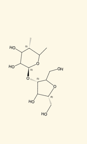 CC1O[C@@H](O[C@@H]2C(CO)O[C@H](CO)C2O)C(O)C(O)[C@@H]1C